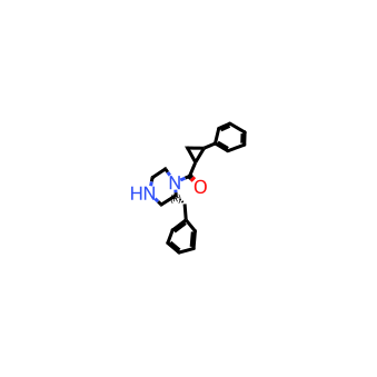 O=C(C1CC1c1ccccc1)N1CCNC[C@H]1Cc1ccccc1